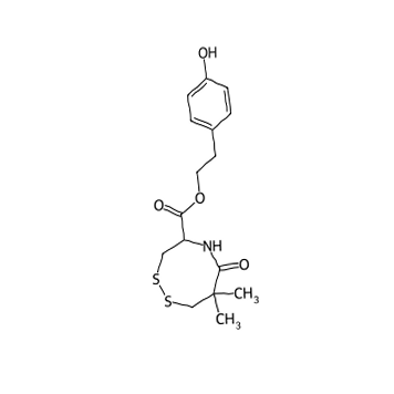 CC1(C)CSSCC(C(=O)OCCc2ccc(O)cc2)NC1=O